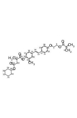 C=C(C)C(=O)OCCOc1ccc(/C=C/c2ccc(OC(=O)C(=C)CC(=O)OC3CCCCC3)c(C)c2)cc1